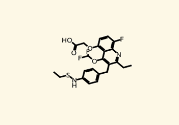 CCSNc1ccc(Cc2c(CC)nc3c(F)ccc(OCC(=O)O)c3c2OC(F)F)cc1